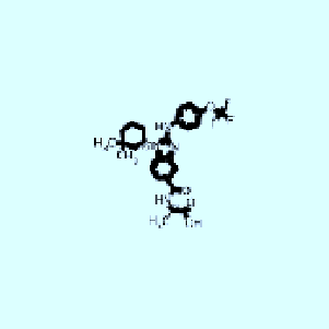 C[C@H](NC(=O)c1ccc2c(c1)nc(Nc1ccc(OC(F)(F)F)cc1)n2[C@H]1CCCC(C)(C)C1)C(=O)O